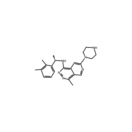 Cc1cccc([C@@H](C)Nc2nnc(C)c3cnc(N4CCNCC4)cc23)c1C